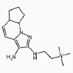 C[N+](C)(C)CCNc1nn2c(c1N)C=CC1CCCC12